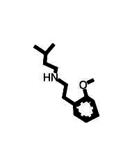 COc1ccccc1CCNCCC(C)C